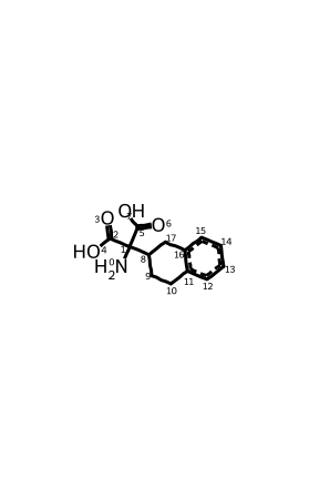 NC(C(=O)O)(C(=O)O)C1CCc2ccccc2C1